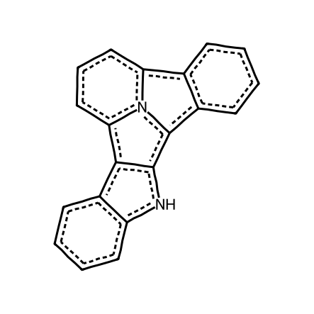 c1ccc2c(c1)[nH]c1c2c2cccc3c4ccccc4c1n32